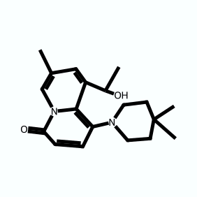 Cc1cc(C(C)O)c2c(N3CCC(C)(C)CC3)ccc(=O)n2c1